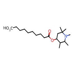 CC1C(OC(=O)CCCCCCCCC(=O)O)CC(C)(C)N(C)C1C